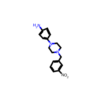 Nc1ccc(N2CCN(Cc3cccc([N+](=O)[O-])c3)CC2)cc1